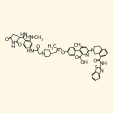 CNc1cc(NC(=O)CN2CCC(C[C@@H](C)COc3ccc(-c4ccc(N5CCc6cccc(C(=O)Nc7nc8ccccc8s7)c6C5)nc4C(=O)O)c(C)c3)CC2)ccc1C(=N)C1CCC(=O)NC1=O